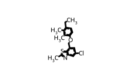 CCc1ccc(OCc2cc(Cl)cc3nc(C)sc23)c(C)c1C